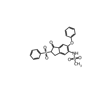 CS(=O)(=O)Nc1cc2c(cc1Oc1ccccc1)C(=O)C(S(=O)(=O)c1ccccc1)C2